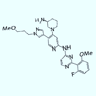 COCCCn1cc(-c2cnc(Nc3ccnc(-c4c(F)cccc4OC)n3)cc2N2CCC[C@H](N)C2)cn1